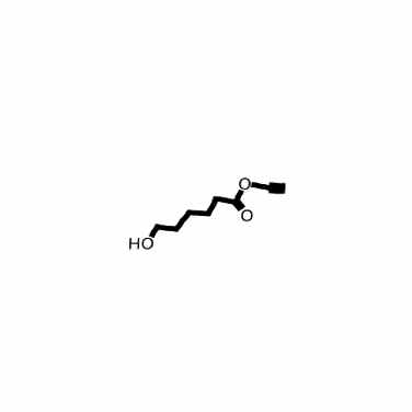 C#COC(=O)CCCCCO